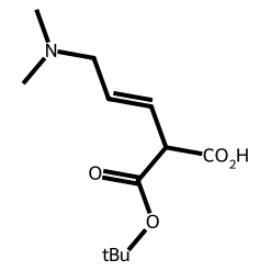 CN(C)CC=CC(C(=O)O)C(=O)OC(C)(C)C